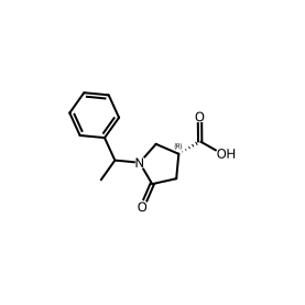 CC(c1ccccc1)N1C[C@H](C(=O)O)CC1=O